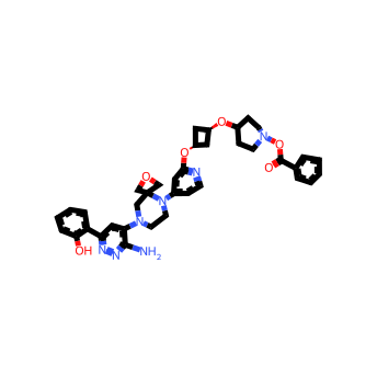 Nc1nnc(-c2ccccc2O)cc1N1CCN(c2ccnc(O[C@H]3C[C@H](OC4CCN(OC(=O)c5ccccc5)CC4)C3)c2)C2(COC2)C1